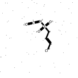 O=C=NS(=O)(=O)CC=CCl